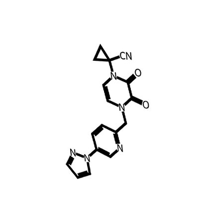 N#CC1(n2ccn(Cc3ccc(-n4cccn4)cn3)c(=O)c2=O)CC1